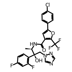 C[C@@H](NC(=O)c1cc(-c2ccc(Cl)cc2)oc1C(F)(F)F)[C@](O)(Cn1cncn1)c1ccc(F)cc1F